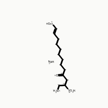 CCCCCCCCC=CCCCCCCCC(=O)CC(CN)S(=O)(=O)O.[NaH]